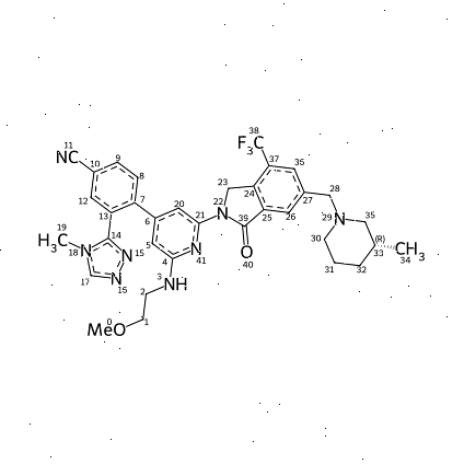 COCCNc1cc(-c2ccc(C#N)cc2-c2nncn2C)cc(N2Cc3c(cc(CN4CCC[C@@H](C)C4)cc3C(F)(F)F)C2=O)n1